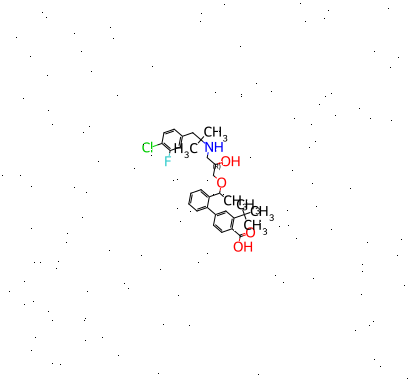 CC(OC[C@H](O)CNC(C)(C)Cc1ccc(Cl)c(F)c1)c1ccccc1-c1ccc(C(=O)O)c(C(C)(C)C)c1